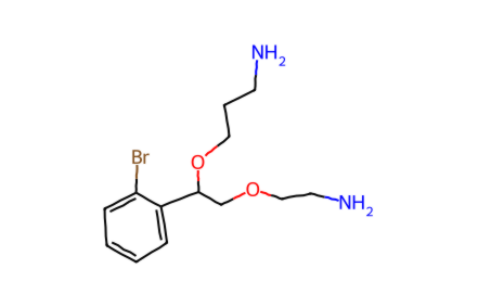 NCCCOC(COCCN)c1ccccc1Br